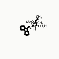 C=CC[C@](C)(COC)[C@@H](NC(=O)OCC1c2ccccc2-c2ccccc21)C(=O)O